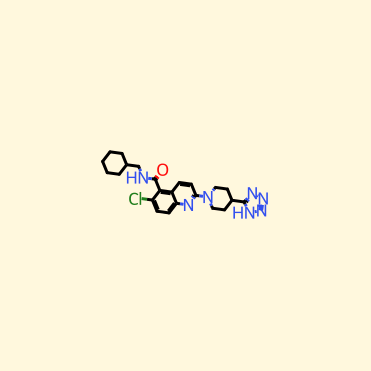 O=C(NCC1CCCCC1)c1c(Cl)ccc2nc(N3CCC(c4nnn[nH]4)CC3)ccc12